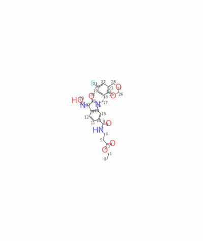 CCOC(=O)CCNC(=O)c1ccc2c(c1)N(Cc1cc(F)cc3c1OCOC3)C(=O)/C2=N\O